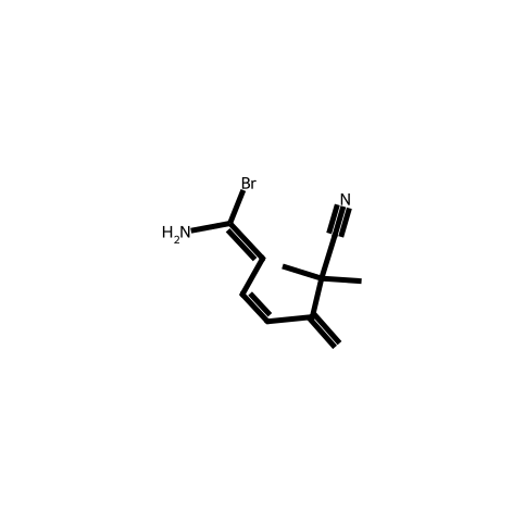 C=C(/C=C\C=C(/N)Br)C(C)(C)C#N